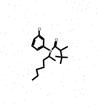 CCCCCC(C)N(C(=O)C(C)C(C)(C)C)c1cccc(Cl)c1